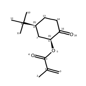 C=C(C)C(=O)O[C@H]1C[C@@H](C(C)(C)C)CCC1=O